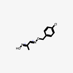 CC(/C=N/OCc1ccc(Cl)cc1)=N\O